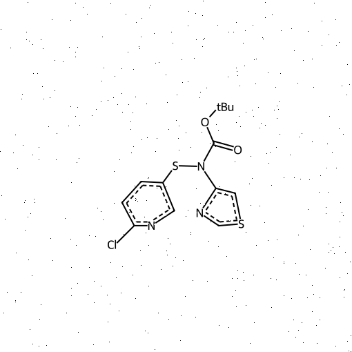 CC(C)(C)OC(=O)N(Sc1ccc(Cl)nc1)c1cscn1